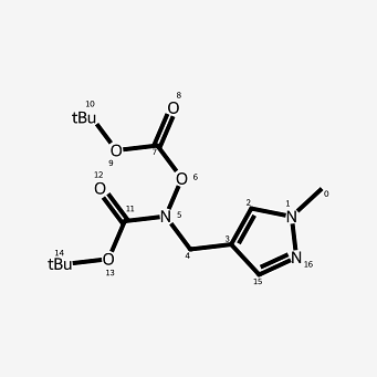 Cn1cc(CN(OC(=O)OC(C)(C)C)C(=O)OC(C)(C)C)cn1